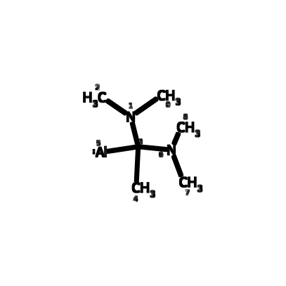 CN(C)[C](C)([Al])N(C)C